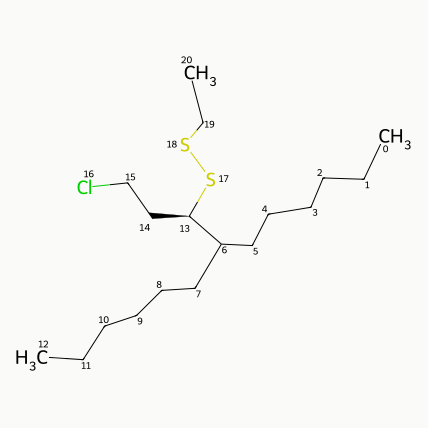 CCCCCCC(CCCCCC)[C@@H](CCCl)SSCC